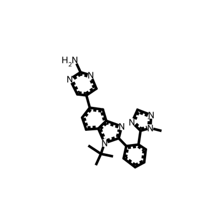 Cn1ncnc1-c1ccccc1-c1nc2cc(-c3cnc(N)nc3)ccc2n1C(C)(C)C